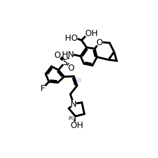 O=S(=O)(Nc1ccc2c(c1C(O)O)OCC1CC21)c1ccc(F)cc1/C=C\CN1CC[C@@H](O)C1